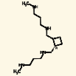 CNCCCNCC1CC[C@@H]1CNCCCNC